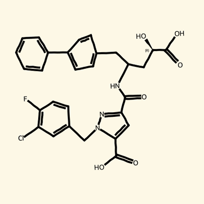 O=C(NC(Cc1ccc(-c2ccccc2)cc1)C[C@@H](O)C(=O)O)c1cc(C(=O)O)n(Cc2ccc(F)c(Cl)c2)n1